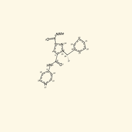 CNC(=O)c1cc(C(=O)Nc2ccncc2)n([C@@H](C)c2ccccc2)n1